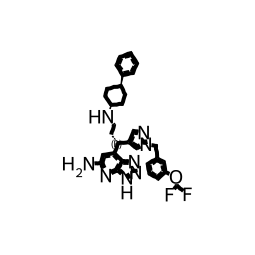 Nc1cc([C@H](CCN[C@H]2CC[C@H](c3ccccc3)CC2)c2cnn(Cc3cccc(OC(F)F)c3)c2)c2nn[nH]c2n1